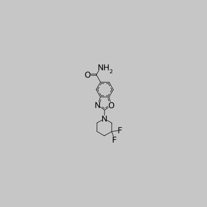 NC(=O)c1ccc2oc(N3CCCC(F)(F)C3)nc2c1